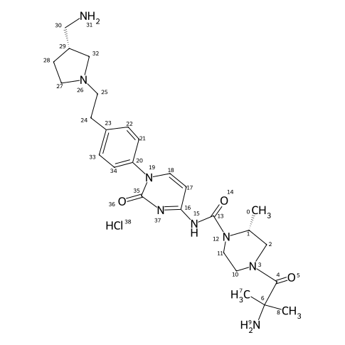 C[C@@H]1CN(C(=O)C(C)(C)N)CCN1C(=O)Nc1ccn(-c2ccc(CCN3CC[C@H](CN)C3)cc2)c(=O)n1.Cl